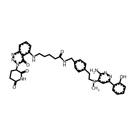 CN(CCc1ccc(CNC(=O)CCCCNc2cccc3nnn(C4CCC(=O)NC4=O)c(=O)c23)cc1)c1cc(-c2ccccc2O)nnc1N